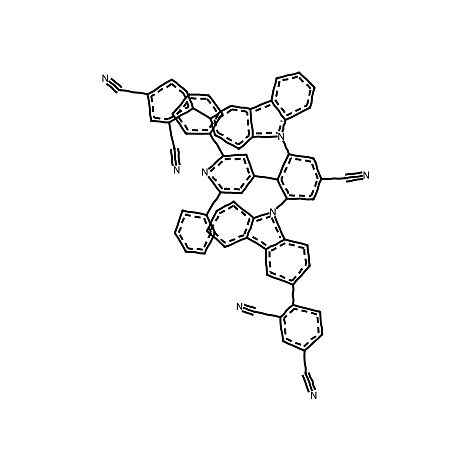 N#Cc1ccc(-c2ccc3c(c2)c2ccccc2n3-c2cc(C#N)cc(-n3c4ccccc4c4cc(-c5ccc(C#N)cc5C#N)ccc43)c2-c2cc(-c3ccccc3)nc(-c3ccccc3)c2)c(C#N)c1